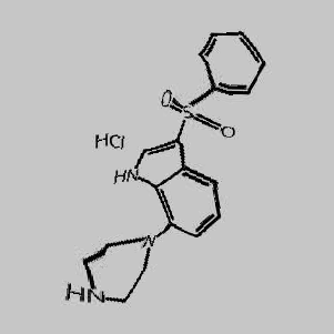 Cl.O=S(=O)(c1ccccc1)c1c[nH]c2c(N3CCNCC3)cccc12